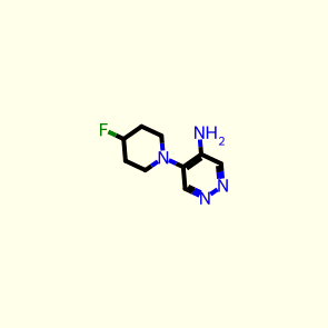 Nc1cnncc1N1CCC(F)CC1